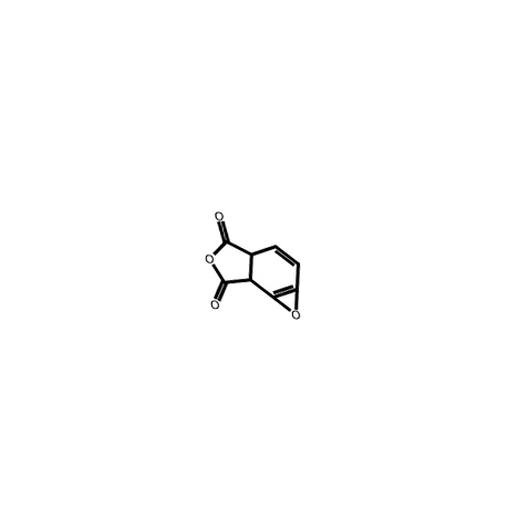 O=C1OC(=O)C2C3=C(C=CC12)O3